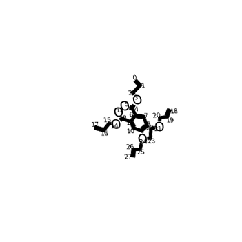 C=CCOC(=O)c1ccccc1C(=O)OCC=C.C=CCOCCOCC=C